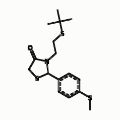 CSc1ccc(C2SCC(=O)N2CCSC(C)(C)C)cc1